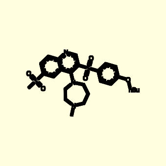 CCCCOc1ccc(S(=O)(=O)c2cnc3ccc(S(C)(=O)=O)cc3c2N2CCCN(C)CC2)cc1